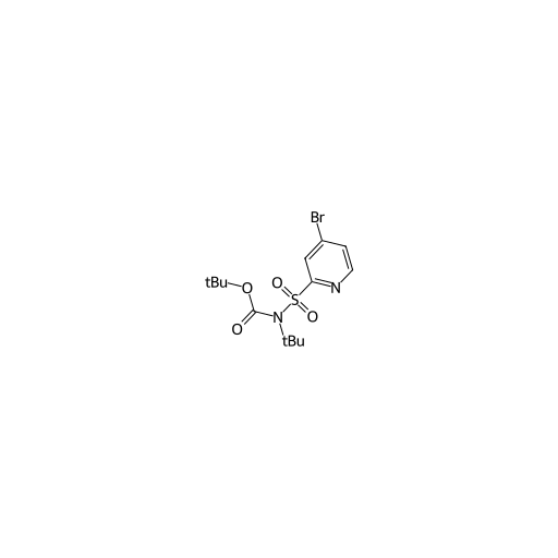 CC(C)(C)OC(=O)N(C(C)(C)C)S(=O)(=O)c1cc(Br)ccn1